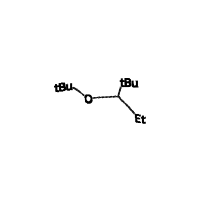 CCC(OC(C)(C)C)C(C)(C)C